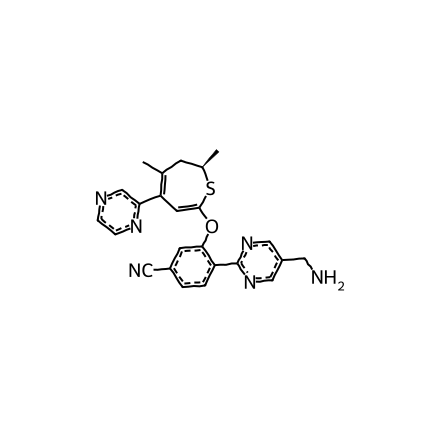 CC1=C(c2cnccn2)C=C(Oc2cc(C#N)ccc2-c2ncc(CN)cn2)S[C@H](C)C1